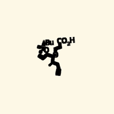 C#CC[C@@H](C)[C@H](OCCC(=O)O)[C@@H](C=C)O[Si](C)(C)C(C)(C)C